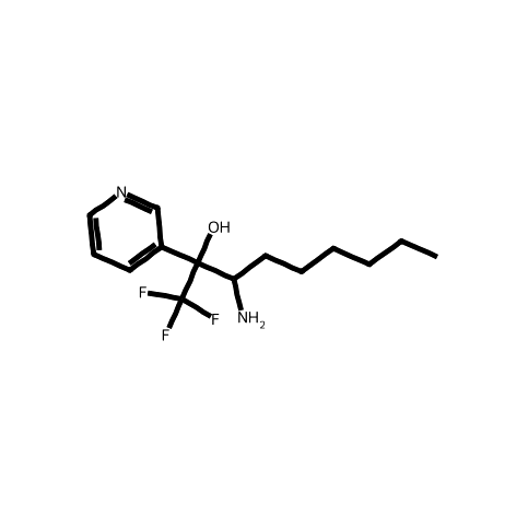 CCCCCCC(N)C(O)(c1cccnc1)C(F)(F)F